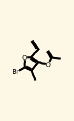 C=Cc1oc(Br)c(C)c1OC(=C)C